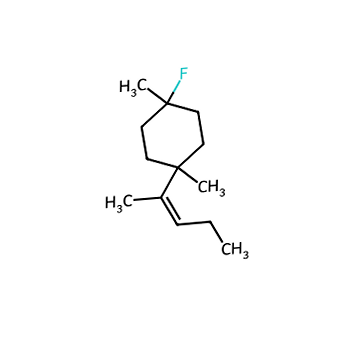 CC/C=C(/C)C1(C)CCC(C)(F)CC1